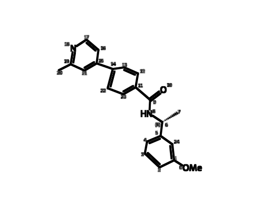 COc1cccc([C@@H](C)NC(=O)c2ccc(-c3ccnc(C)c3)cc2)c1